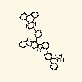 CC1(C)c2ccccc2-c2ccc(-c3cccc4c3oc3cc5c(oc6ccccc65)c(-c5cccc(-c6cnc7c8ccccc8c8ccccc8c7n6)c5)c34)cc21